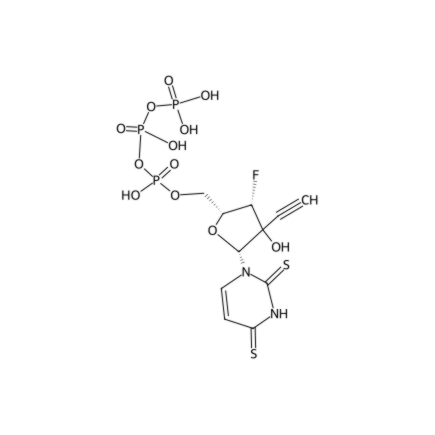 C#CC1(O)[C@@H](F)[C@@H](COP(=O)(O)OP(=O)(O)OP(=O)(O)O)O[C@H]1n1ccc(=S)[nH]c1=S